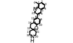 Cc1cccc2cc(-c3ccc4c(c3)CCC3(CCNCC3)O4)cnc12